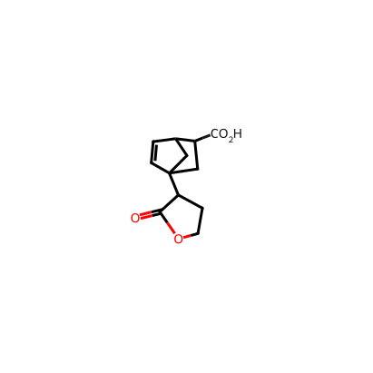 O=C(O)C1CC2(C3CCOC3=O)C=CC1C2